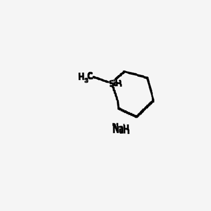 C[SiH]1CCCCC1.[NaH]